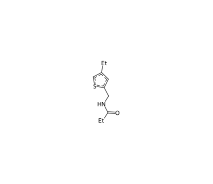 CCC(=O)NCc1cc(CC)cs1